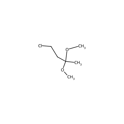 COC(C)(CCCl)OC